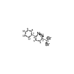 BrC(Br)c1ccc(-c2ccccc2)nn1